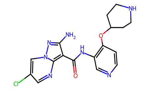 Nc1nn2cc(Cl)cnc2c1C(=O)Nc1cnccc1OC1CCNCC1